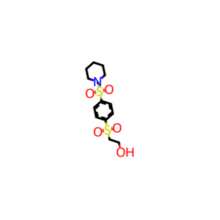 O=S(=O)(CCO)c1ccc(S(=O)(=O)N2CCCCC2)cc1